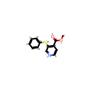 COC(=O)c1ccncc1Sc1ccccc1